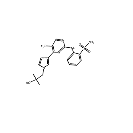 CC(C)(O)Cn1cc(-c2nc(Nc3ccccc3S(N)(=O)=O)ncc2C(F)(F)F)cn1